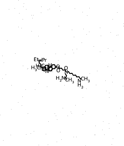 CC[C@H](CC[C@@H](C)C1CC[C@H]2[C@@H]3CC=C4C[C@@H](OC(=O)CCC(=O)N(CCCCCCCC(C)N)CCC(C)N)CC[C@]4(C)[C@H]3CC[C@]12C)C(C)C